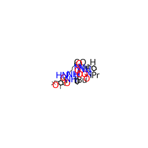 Cc1c(C)c(S(=O)(=O)NC(=N)NCCCC(CC(=O)O)NC(=O)N(C[C@@H](CCN(C(=O)OC(C)(C)C)C(C)C)Cc2ccccc2)NC(=O)OCc2ccccc2)c(C)c2c1OC(C)(C)C2